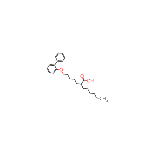 CCCCCCC(CCCCCOc1ccccc1-c1ccccc1)C(=O)O